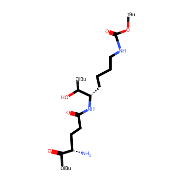 CC(C)COC(=O)[C@@H](N)CCC(=O)N[C@@H](CCCCNC(=O)OC(C)(C)C)C(O)OCC(C)C